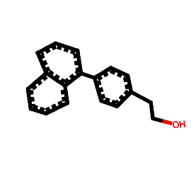 OCCc1ccc(-c2cccc3ccccc23)cc1